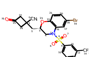 N#CC1(C[C@H]2CN(S(=O)(=O)c3cccc(C(F)(F)F)c3)c3cc(Br)ccc3O2)CC(=O)C1